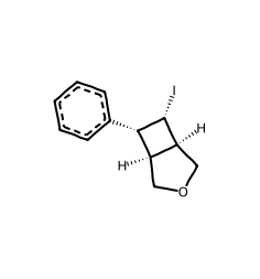 I[C@@H]1[C@H]2COC[C@H]2[C@@H]1c1ccccc1